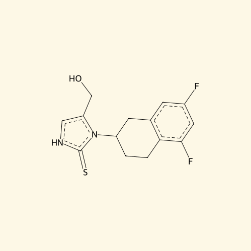 OCc1c[nH]c(=S)n1C1CCc2c(F)cc(F)cc2C1